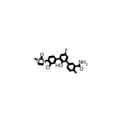 Cc1ccc(-c2cc(F)cc(-c3ccc(-n4ccn(C)c4=O)c(Cl)c3)c2O)cc1C(N)=O